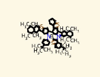 CC(C)(C)c1ccc(N2B3c4sc5ccc(C(C)(C)C)cc5c4-n4c5cc6c(cc5c5c7sc8ccccc8c7c(c3c54)-c3cc4sc5cc7c(cc5c4cc32)C(C)(C)CCC7(C)C)C(C)(C)CCC6(C)C)cc1